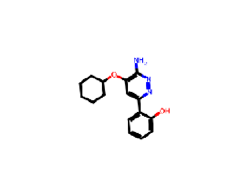 Nc1nnc(-c2ccccc2O)cc1OC1CCCCC1